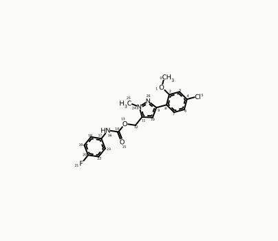 COc1cc(Cl)ccc1-c1cc(COC(=O)Nc2ccc(F)cc2)n(C)n1